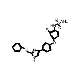 NS(=O)(=O)Nc1ccc(Oc2ccc(-c3c[nH]c(COc4ccccc4)n3)cc2)cc1F